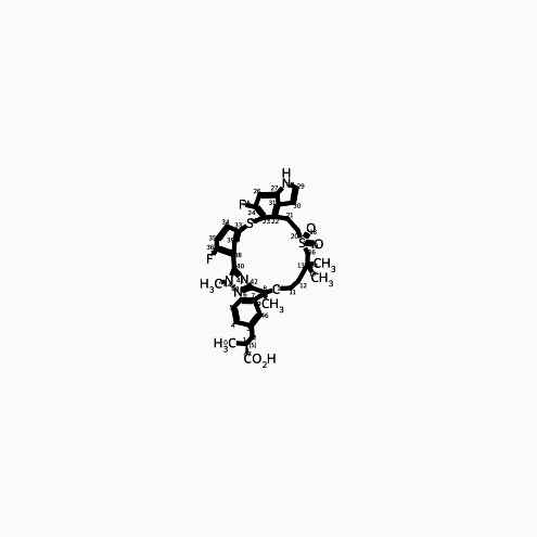 C[C@@H](Cc1cccc([C@@]2(C)CCCC(C)(C)CS(=O)(=O)CCc3c(c(F)cc4[nH]ccc34)Sc3ccc(F)c(c3)-c3nc2nn3C)c1)C(=O)O